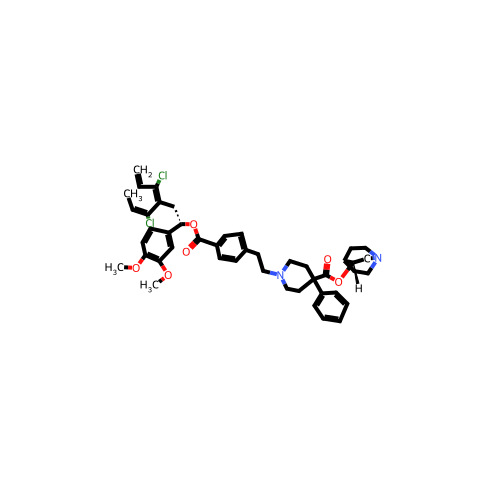 C=C/C(Cl)=C(C[C@H](OC(=O)c1ccc(CCN2CCC(C(=O)O[C@H]3CN4CCC3CC4)(c3ccccc3)CC2)cc1)c1ccc(OC)c(OC)c1)\C(Cl)=C/C